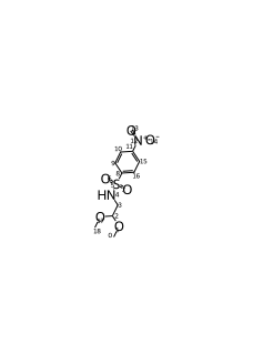 COC(CNS(=O)(=O)c1ccc([N+](=O)[O-])cc1)OC